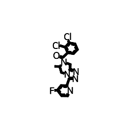 CC1Cn2c(nnc2-c2cc(F)ccn2)CN1C(=O)c1cccc(Cl)c1Cl